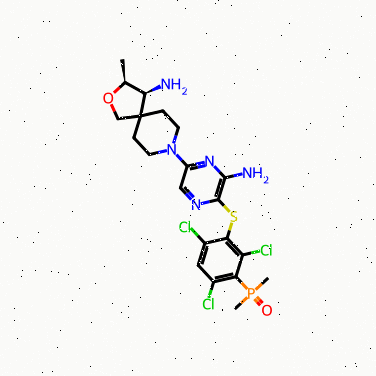 C[C@@H]1OCC2(CCN(c3cnc(Sc4c(Cl)cc(Cl)c(P(C)(C)=O)c4Cl)c(N)n3)CC2)[C@@H]1N